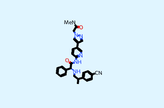 CNC(=O)Cn1cc(-c2ccc(NC(=O)[C@@H](NCC(C)c3ccc(C#N)cc3)c3ccccc3)nc2)cn1